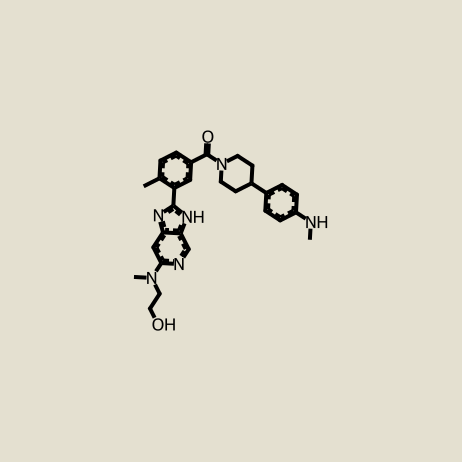 CNc1ccc(C2CCN(C(=O)c3ccc(C)c(-c4nc5cc(N(C)CCO)ncc5[nH]4)c3)CC2)cc1